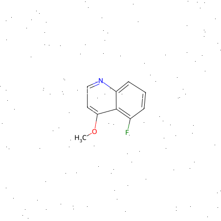 COc1ccnc2cccc(F)c12